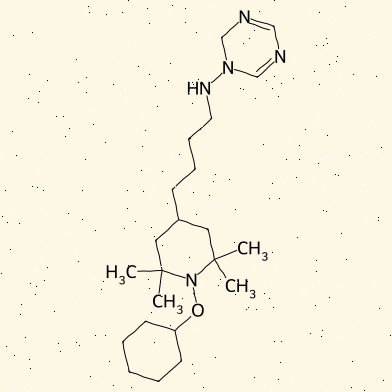 CC1(C)CC(CCCCNN2C=NC=NC2)CC(C)(C)N1OC1CCCCC1